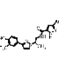 CC(=O)c1cc(C(=O)NC[C@@H](C)n2ccc(-c3ccc(C#N)c(C(F)(F)F)c3)n2)[nH]n1